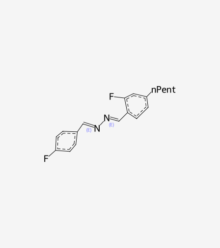 CCCCCc1ccc(/C=N/N=C/c2ccc(F)cc2)c(F)c1